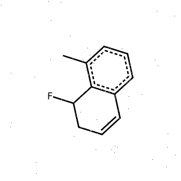 Cc1cccc2c1C(F)CC=C2